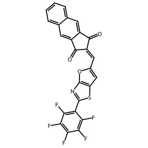 O=C1C(=Cc2cc3sc(-c4c(F)c(F)c(F)c(F)c4F)nc3o2)C(=O)c2cc3ccccc3cc21